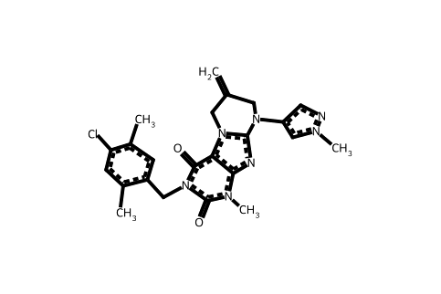 C=C1CN(c2cnn(C)c2)c2nc3c(c(=O)n(Cc4cc(C)c(Cl)cc4C)c(=O)n3C)n2C1